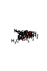 CCC1=C[C@H]2CN(C1)Cc1c([nH]c3ccc(C#N)cc13)[C@@](C(=O)OC)(C1C=C3C(=CC1OC)N(C)[C@H]1[C@@](O)(C(=O)OC)[C@H](OC(C)=O)[C@]4(CC)C=CCN5CC[C@]31[C@@H]54)C2